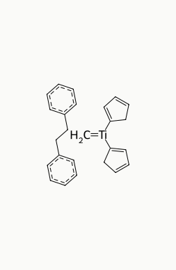 [CH2]=[Ti]([C]1=CC=CC1)[C]1=CC=CC1.c1ccc(CCc2ccccc2)cc1